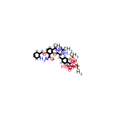 CCOP(=O)(OCC)C(c1ccc(C[C@H](NC(C)=O)C(=O)N[C@@H](C)c2ccc(OCC3CCCCC3)c(C(N)=O)c2)cc1)P(=O)(O)O